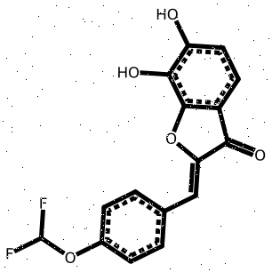 O=C1C(=Cc2ccc(OC(F)F)cc2)Oc2c1ccc(O)c2O